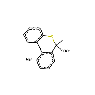 CC1(C(=O)[O-])Sc2ccccc2-c2ccccc21.[Na+]